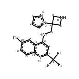 FC(F)(F)c1cc(NCC2(n3cccn3)CNC2)c2cc(Cl)ccc2n1